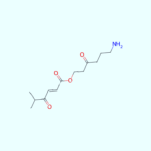 CC(C)C(=O)/C=C/C(=O)OCCC(=O)CCCN